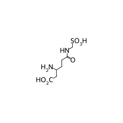 NC(CCC(=O)NCS(=O)(=O)O)CC(=O)O